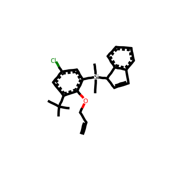 C=CCOc1c(C(C)(C)C)cc(Cl)cc1[Si](C)(C)C1C=Cc2ccccc21